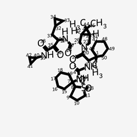 CC1([C@H](NC(=O)NC2(C3CCCS3(=O)=O)CCCCC2)C(=O)N2C[C@H]3[C@@H]([C@H]2C(=O)NC(CC2CC2)C(=O)C(=O)NC2CC2)C3(C)C)CCCCC1